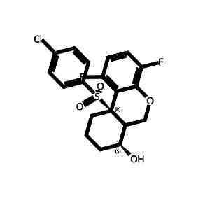 O=S(=O)(c1ccc(Cl)cc1)[C@]12CCC[C@H](O)C1COc1c(F)ccc(F)c12